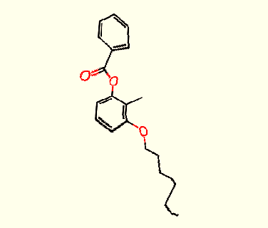 CCCCCCOc1cccc(OC(=O)c2ccccc2)c1C